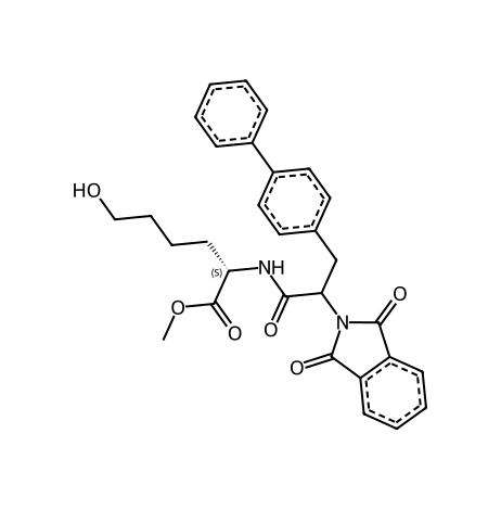 COC(=O)[C@H](CCCCO)NC(=O)C(Cc1ccc(-c2ccccc2)cc1)N1C(=O)c2ccccc2C1=O